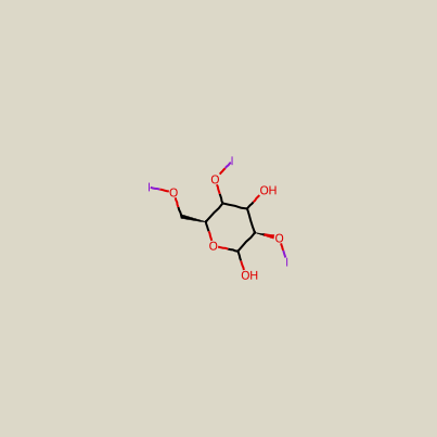 OC1O[C@@H](COI)C(OI)C(O)[C@H]1OI